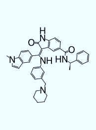 C[C@@H](NC(=O)c1ccc2c(c1)C(=C(Nc1cccc(CN3CCCCC3)c1)c1ccc3c(ccn3C)c1)C(=O)N2)c1ccccc1